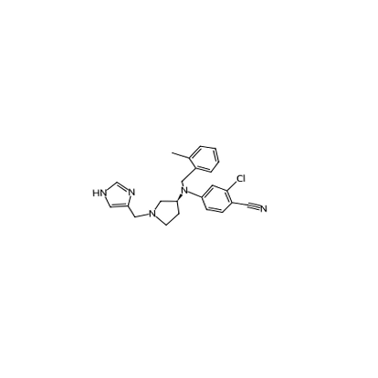 Cc1ccccc1CN(c1ccc(C#N)c(Cl)c1)[C@H]1CCN(Cc2c[nH]cn2)C1